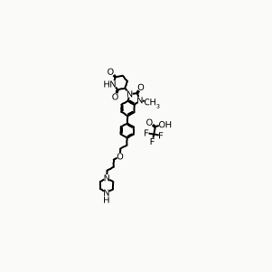 Cn1c(=O)n(C2CCC(=O)NC2=O)c2ccc(-c3ccc(CCOCCCN4CCNCC4)cc3)cc21.O=C(O)C(F)(F)F